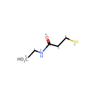 O=C(O)CNC(=O)CCS